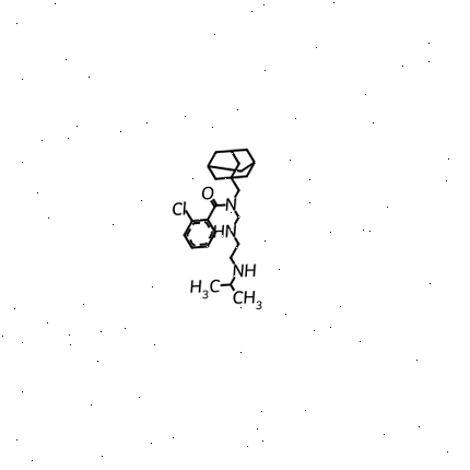 CC(C)NCCNCN(CC12CC3CC(CC(C3)C1)C2)C(=O)c1ccccc1Cl